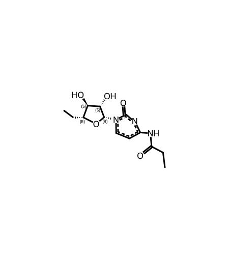 CCC(=O)Nc1ccn([C@@H]2O[C@H](CC)[C@@H](O)[C@@H]2O)c(=O)n1